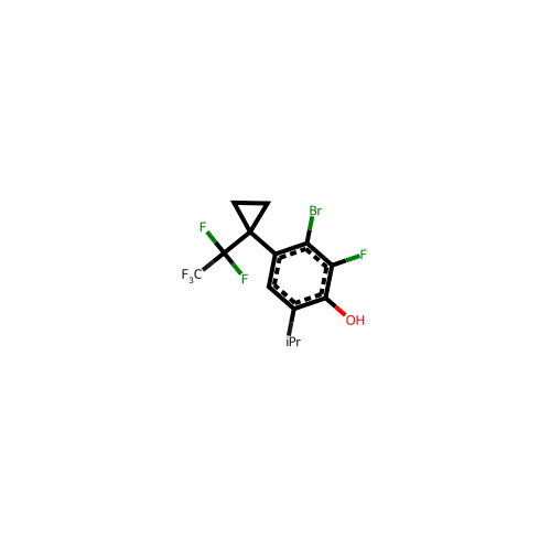 CC(C)c1cc(C2(C(F)(F)C(F)(F)F)CC2)c(Br)c(F)c1O